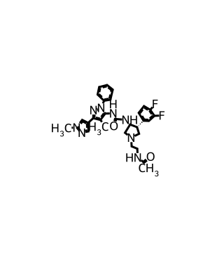 CC(=O)NCCN1C[C@@H](NC(=O)Nc2c(C)c(-c3cnn(C)c3)nn2-c2ccccc2)[C@H](c2ccc(F)c(F)c2)C1